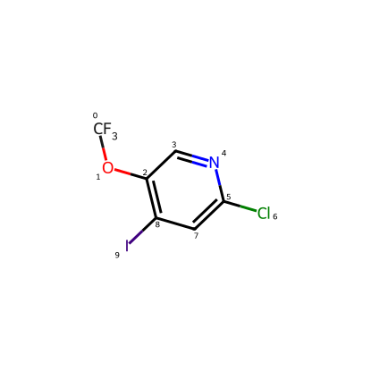 FC(F)(F)Oc1cnc(Cl)cc1I